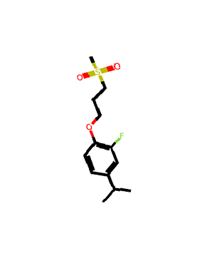 CC(C)c1ccc(OCCCS(C)(=O)=O)c(F)c1